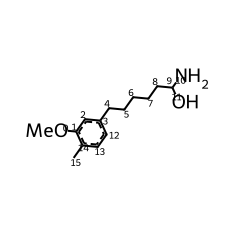 COc1cc(CCCCCC(N)O)ccc1C